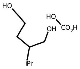 CC(C)C(CO)CCO.O=C(O)O